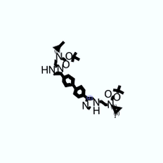 C=N/C(=C\NCCN(C(=O)OC(C)(C)C)[C@@H]1C[C@@H]1C)c1ccc(-c2ccc(-c3c[nH]c(CN(C(=O)OC(C)(C)C)[C@@H]4CC4C)n3)cc2)cc1